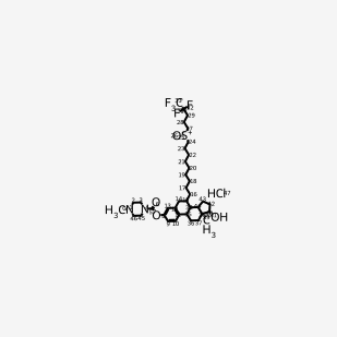 CN1CCN(C(=O)Oc2ccc3c(c2)CC(CCCCCCCCC[S+]([O-])CCCC(F)(F)C(F)(F)F)C2C3CCC3(C)C(O)CCC23)CC1.Cl